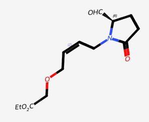 CCOC(=O)COC/C=C\CN1C(=O)CC[C@@H]1C=O